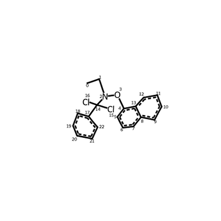 CCN(Oc1cccc2ccccc12)C(Cl)(Cl)c1ccccc1